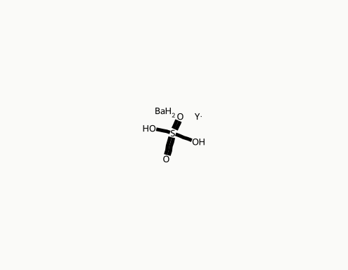 O=S(=O)(O)O.[BaH2].[Y]